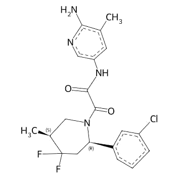 Cc1cc(NC(=O)C(=O)N2C[C@H](C)C(F)(F)C[C@@H]2c2cccc(Cl)c2)cnc1N